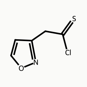 S=C(Cl)Cc1ccon1